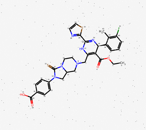 CCOC(=O)C1=C(CN2CCN3C(=S)N(c4ccc(C(=O)O)cc4)CC3C2)NC(c2nccs2)=N[C@H]1c1cccc(F)c1C